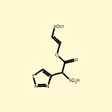 CCCCCCCCC=COC(=O)C(c1csnn1)S(=O)(=O)O